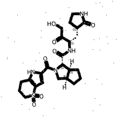 O=C1NCC[C@H]1C[C@H](NC(=O)[C@@H]1[C@H]2CCC[C@H]2CN1C(=O)c1cc2c([nH]1)CCCS2(=O)=O)C(=O)CO